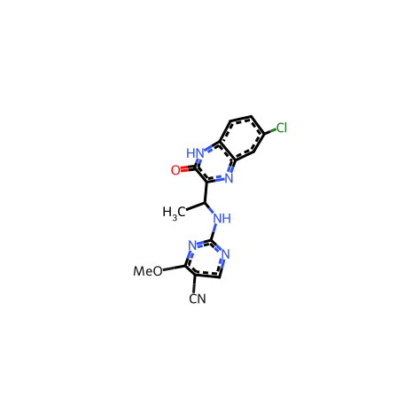 COc1nc(NC(C)c2nc3cc(Cl)ccc3[nH]c2=O)ncc1C#N